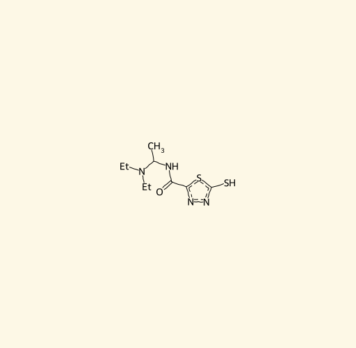 CCN(CC)C(C)NC(=O)c1nnc(S)s1